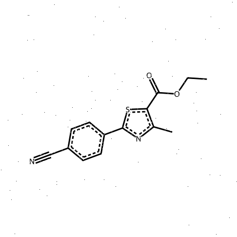 CCOC(=O)c1sc(-c2ccc(C#N)cc2)nc1C